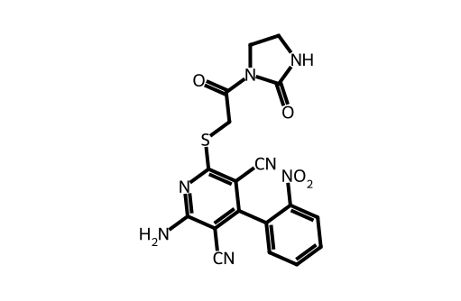 N#Cc1c(N)nc(SCC(=O)N2CCNC2=O)c(C#N)c1-c1ccccc1[N+](=O)[O-]